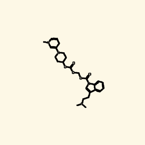 CN1C=CCC(N2CCC(OC(=O)OCOC(=O)n3cc(CCN(C)C)c4ccccc43)CC2)=C1